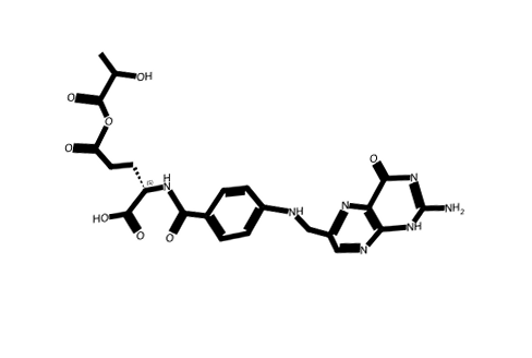 CC(O)C(=O)OC(=O)CC[C@H](NC(=O)c1ccc(NCc2cnc3[nH]c(N)nc(=O)c3n2)cc1)C(=O)O